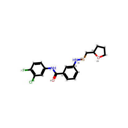 O=C(Nc1ccc(F)c(Cl)c1)c1cccc(NSCC2CCCO2)c1